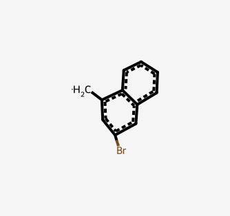 [CH2]c1cc(Br)cc2ccccc12